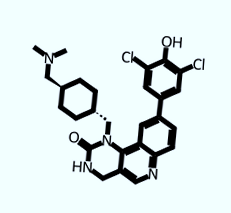 CN(C)C[C@H]1CC[C@H](CN2C(=O)NCc3cnc4ccc(-c5cc(Cl)c(O)c(Cl)c5)cc4c32)CC1